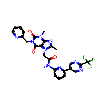 Cc1nc2c(c(=O)n(Cc3ccccn3)c(=O)n2C)n1CC(=O)Nc1cccc(-c2cnc(C(F)(F)F)nc2)n1